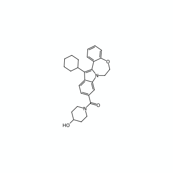 O=C(c1ccc2c(C3CCCCC3)c3n(c2c1)CCOc1ccccc1-3)N1CCC(O)CC1